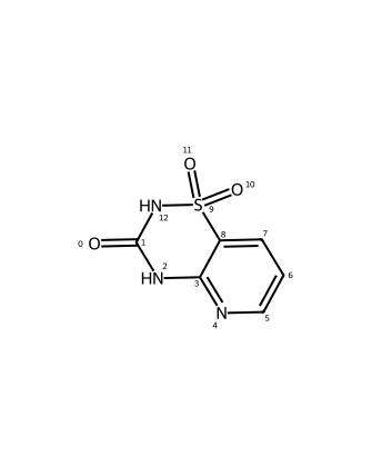 O=C1Nc2ncccc2S(=O)(=O)N1